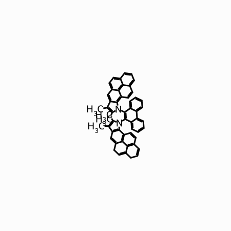 Cc1c(C)n(-c2c(-n3c(C)c(C)c4cc5ccc6cccc7ccc(c5c67)c43)c3ccccc3c3ccccc23)c2c1cc1c3c4c(ccc32)C=CCC4=CC1